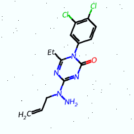 C=CCN(N)c1nc(CC)n(-c2ccc(Cl)c(Cl)c2)c(=O)n1